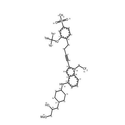 [2H]C([2H])([2H])Oc1cc(S(C)(=O)=O)ccc1CCC#Cc1cc2c(NC3CCN(CC(O)COC)CC3)cccc2n1CC(F)(F)F